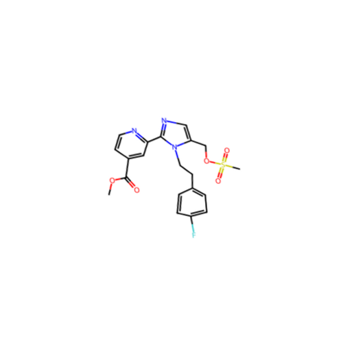 COC(=O)c1ccnc(-c2ncc(COS(C)(=O)=O)n2CCc2ccc(F)cc2)c1